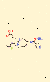 C/C=C(F)\C=C/CN1/C(CCCCC(=O)O)=N\C/C=C(C/N=C(\ON)c2ccncc2)\C=C/CC1C